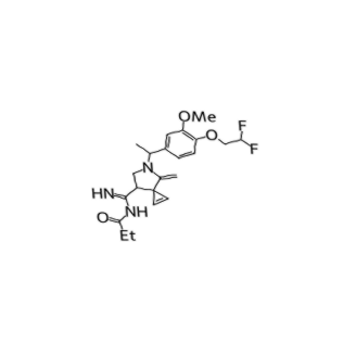 C=C1N(C(C)c2ccc(OCC(F)F)c(OC)c2)CC(C(=N)NC(=O)CC)C12C=C2